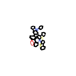 c1ccc(-n2c3ccccc3c3cc(-c4ccc5oc6cccc(N(c7cccc8c7sc7ccccc78)c7cccc8c7sc7ccccc78)c6c5c4)ccc32)cc1